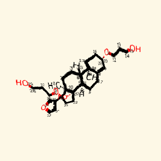 C[C@]12CC[C@H]3[C@@H](CCC4=C[C@@H](OCCCO)CC[C@@]43C)[C@@]1(O)CC[C@]2(OCCCO)c1ccoc1